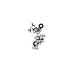 C#C[C@@]1(O)[C@H](O)[C@@H](COP(=S)(N[C@@H](CCC)C(=O)OC(C)C)Oc2ccccc2)O[C@H]1n1ccc(=O)[nH]c1=O